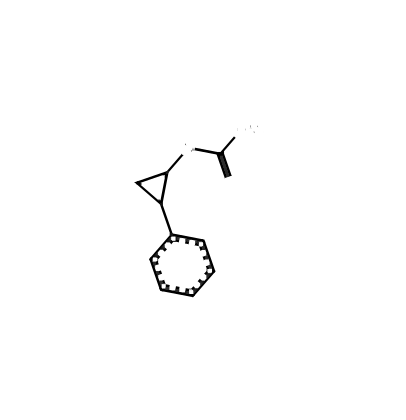 COC(=O)NC1CC1c1ccccc1